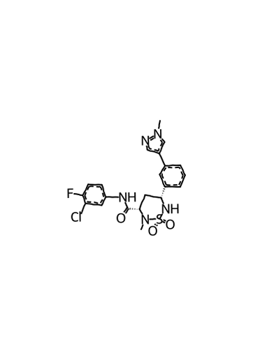 CN1[C@H](C(=O)Nc2ccc(F)c(Cl)c2)C[C@H](c2cccc(-c3cnn(C)c3)c2)NS1(=O)=O